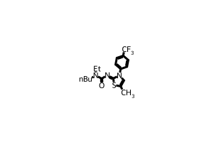 CCCCN(CC)C(=O)/N=c1\sc(C)cn1-c1ccc(C(F)(F)F)cc1